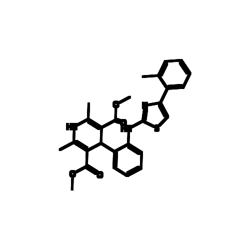 COC(=O)C1=C(C)NC(C)=C(C(=O)OC)C1c1ccccc1Nc1nc(-c2ccccc2C)cs1